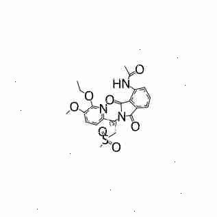 CCOc1nc([C@@H](CS(C)(=O)=O)N2C(=O)c3cccc(NC(C)=O)c3C2=O)ccc1OC